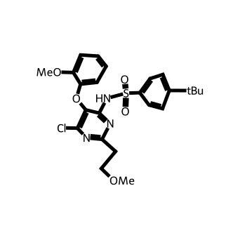 COCCc1nc(Cl)c(Oc2ccccc2OC)c(NS(=O)(=O)c2ccc(C(C)(C)C)cc2)n1